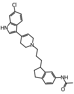 CC(=O)Nc1ccc2c(c1)C(CCCN1CC=C(c3c[nH]c4cc(Cl)ccc34)CC1)CC2